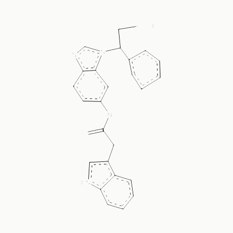 O=C(O)CC(c1ccccc1)n1cnc2ccc(NC(=O)Cc3c[nH]c4ccccc34)cc21